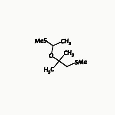 CSCC(C)(C)OC(C)SC